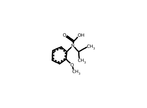 COc1ccccc1N(C(=O)O)C(C)C